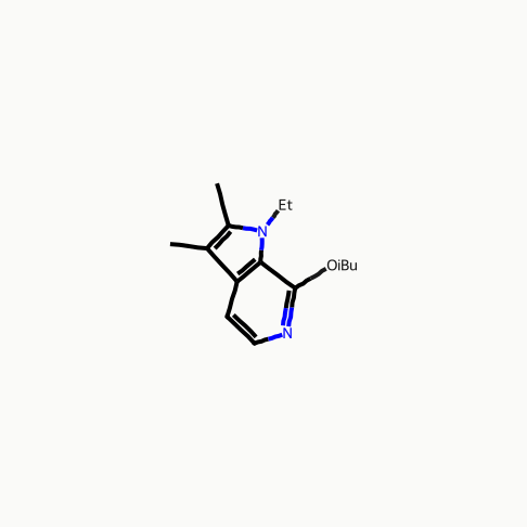 CCn1c(C)c(C)c2ccnc(OCC(C)C)c21